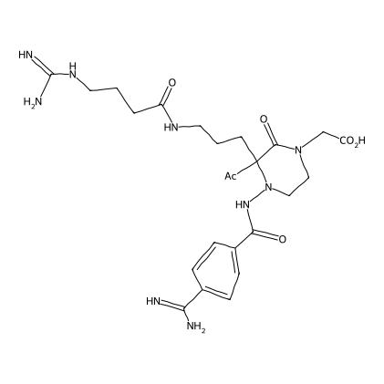 CC(=O)C1(CCCNC(=O)CCCNC(=N)N)C(=O)N(CC(=O)O)CCN1NC(=O)c1ccc(C(=N)N)cc1